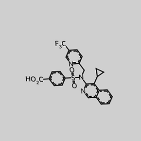 O=C(O)c1ccc(S(=O)(=O)N(Cc2ccc(C(F)(F)F)cn2)c2ncc3ccccc3c2C2CC2)cc1